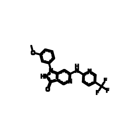 COc1cccc(-n2[nH]c(=O)c3cnc(Nc4ccc(C(F)(F)F)cn4)cc32)c1